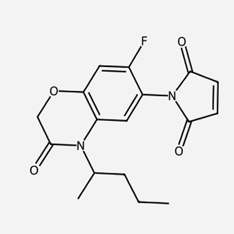 CCCC(C)N1C(=O)COc2cc(F)c(N3C(=O)C=CC3=O)cc21